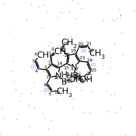 C=Cc1c(/C=C\C)c(/C=C\C)n(BO)c1-c1c(C=C)c(/C=C\C)c(/C=C\C)n1BO